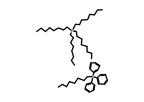 CCCCCCCC[B-](c1ccccc1)(c1ccccc1)c1ccccc1.CCCCCCCC[P+](CCCCCCCC)(CCCCCCCC)CCCCCCCC